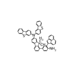 CC1(C)c2cc(N(c3ccc4c(c3)sc3ccccc34)c3ccc4sc5ccccc5c4c3)ccc2-c2cccc(-c3ccc(N)c(C4=Cc5cccc6cccc4c56)c3)c21